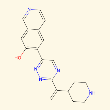 C=C(c1ncc(-c2cc3ccncc3cc2O)nn1)C1CCNCC1